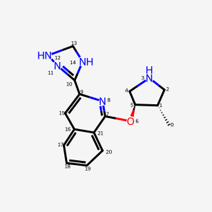 C[C@H]1CNC[C@@H]1Oc1nc(C2=NNCN2)cc2ccccc12